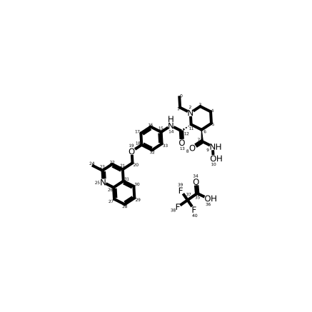 CCN1CCC[C@@H](C(=O)NO)[C@@H]1C(=O)Nc1ccc(OCc2cc(C)nc3ccccc23)cc1.O=C(O)C(F)(F)F